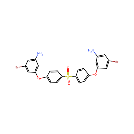 Nc1cc(Br)cc(Oc2ccc(S(=O)(=O)c3ccc(Oc4cc(N)cc(Br)c4)cc3)cc2)c1